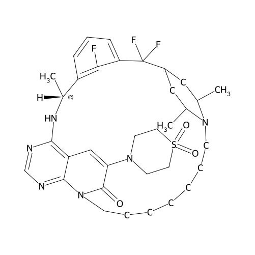 CC1CC2CC(C)N1CCCCCCCn1c(=O)c(N3CCS(=O)(=O)CC3)cc3c(ncnc31)N[C@H](C)c1cccc(c1F)C2(F)F